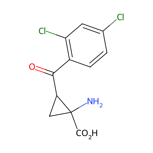 NC1(C(=O)O)CC1C(=O)c1ccc(Cl)cc1Cl